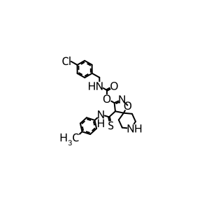 Cc1ccc(NC(=S)C2C(OC(=O)NCc3ccc(Cl)cc3)=NOC23CCNCC3)cc1